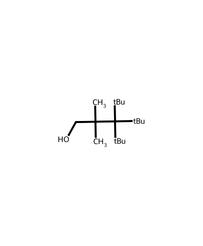 CC(C)(C)C(C(C)(C)C)(C(C)(C)C)C(C)(C)CO